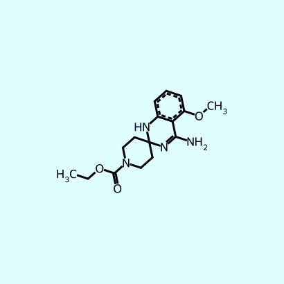 CCOC(=O)N1CCC2(CC1)N=C(N)c1c(cccc1OC)N2